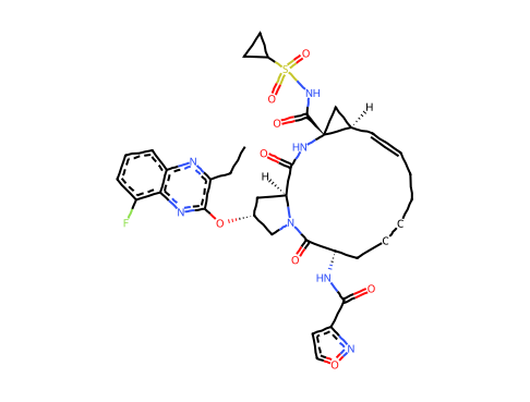 CCc1nc2cccc(F)c2nc1O[C@@H]1C[C@H]2C(=O)N[C@]3(C(=O)NS(=O)(=O)C4CC4)C[C@H]3/C=C\CCCCC[C@H](NC(=O)c3ccon3)C(=O)N2C1